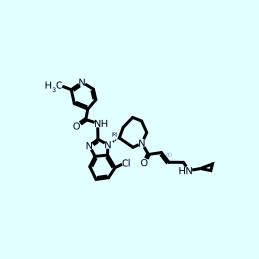 Cc1cc(C(=O)Nc2nc3cccc(Cl)c3n2[C@@H]2CCCCN(C(=O)/C=C/CNC3CC3)C2)ccn1